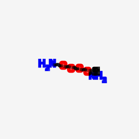 C[Si](C)(C)C(N)COCCOCCOCCOCCCN